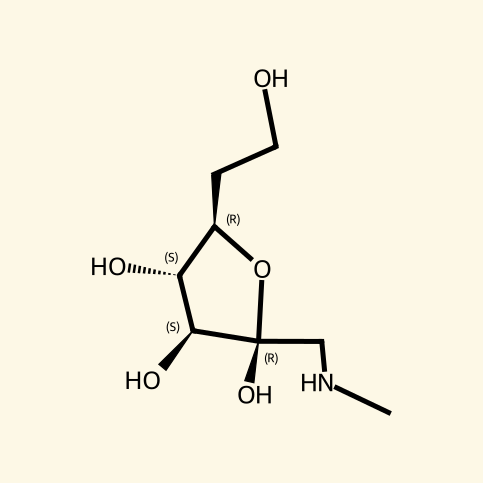 CNC[C@@]1(O)O[C@H](CCO)[C@@H](O)[C@@H]1O